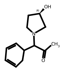 CC(=O)C(C1C=CC=CC1)N1CC[C@@H](O)C1